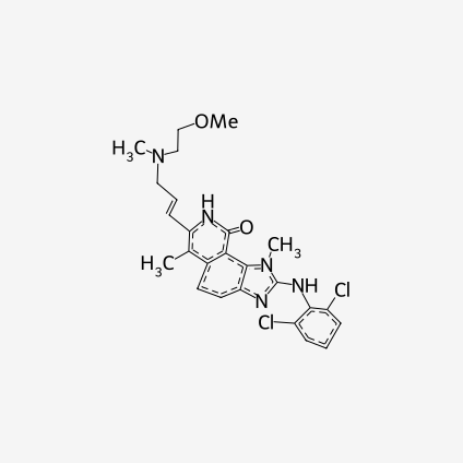 COCCN(C)CC=Cc1[nH]c(=O)c2c(ccc3nc(Nc4c(Cl)cccc4Cl)n(C)c32)c1C